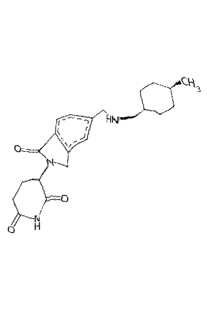 C[C@H]1CC[C@@H](NCc2ccc3c(c2)CN(C2CCC(=O)NC2=O)C3=O)CC1